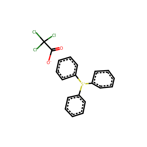 O=C([O-])C(Cl)(Cl)Cl.c1ccc([S+](c2ccccc2)c2ccccc2)cc1